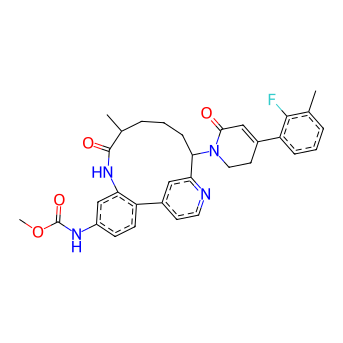 COC(=O)Nc1ccc2c(c1)NC(=O)C(C)CCCC(N1CCC(c3cccc(C)c3F)=CC1=O)c1cc-2ccn1